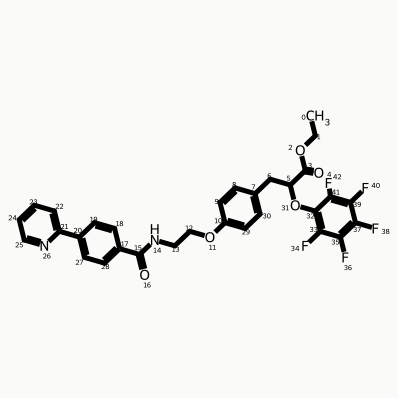 CCOC(=O)C(Cc1ccc(OCCNC(=O)c2ccc(-c3ccccn3)cc2)cc1)Oc1c(F)c(F)c(F)c(F)c1F